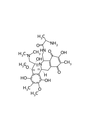 COc1c(C)c(O)c2c(c1O)[C@@H]1CC3=C(C(=O)C(O)=C(C)C3=O)C(CNC(=O)C(C)N)N1[C@](O)(CN(C)C)[C@H]2OC